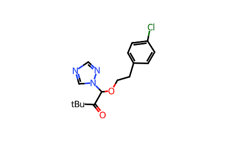 CC(C)(C)C(=O)C(OCCc1ccc(Cl)cc1)n1cncn1